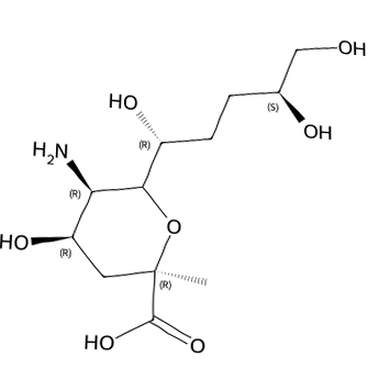 C[C@]1(C(=O)O)C[C@@H](O)[C@@H](N)C([C@H](O)CC[C@H](O)CO)O1